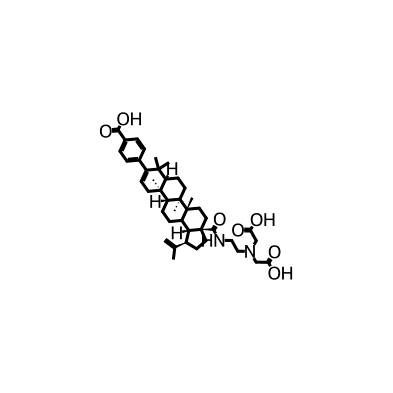 C=C(C)[C@@H]1CC[C@@]2(C(=O)NCCN(CC(=O)O)CC(=O)O)CC[C@]3(C)C(CC[C@@H]4[C@@]5(C)CC=C(c6ccc(C(=O)O)cc6)C(C)(C)[C@@H]5CC[C@]43C)[C@@H]12